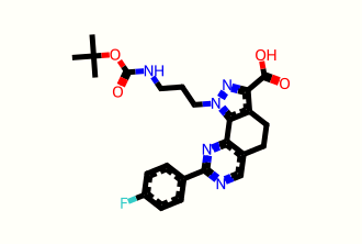 CC(C)(C)OC(=O)NCCCn1nc(C(=O)O)c2c1-c1nc(-c3ccc(F)cc3)ncc1CC2